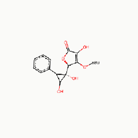 CCCCOC1=C(O)C(=O)O[C@@H]1[C@@]1(O)C(O)C1c1ccccc1